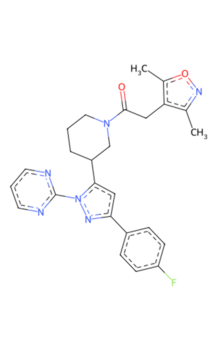 Cc1noc(C)c1CC(=O)N1CCCC(c2cc(-c3ccc(F)cc3)nn2-c2ncccn2)C1